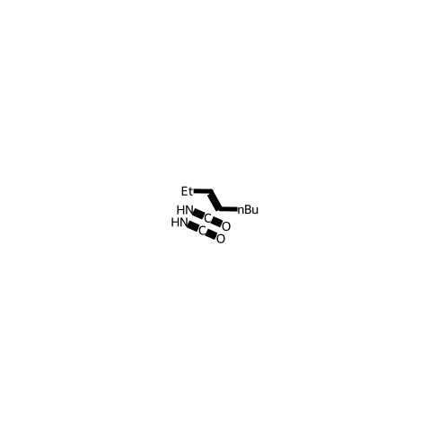 CCC=CCCCC.N=C=O.N=C=O